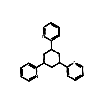 c1ccc(C2CC(c3ccccn3)CC(c3ccccn3)C2)nc1